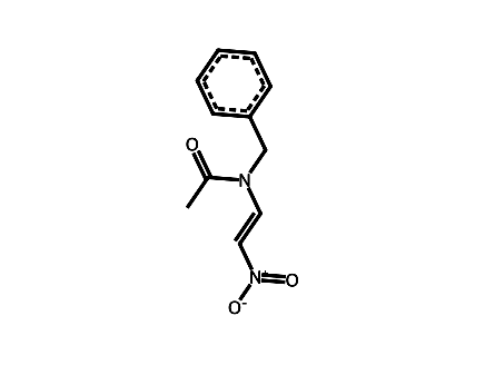 CC(=O)N(C=C[N+](=O)[O-])Cc1ccccc1